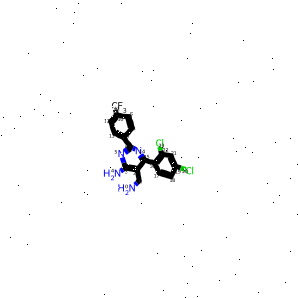 NCc1c(N)nc(-c2ccc(C(F)(F)F)cc2)nc1-c1ccc(Cl)cc1Cl